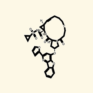 O=C1N[C@]2(C(=O)NS(=O)(=O)C3CC3)C[C@H]2/C=C\CCCCCCC(=O)N2C[C@H](Oc3cc(-c4ccco4)nc4c3oc3ccccc34)C[C@@H]12